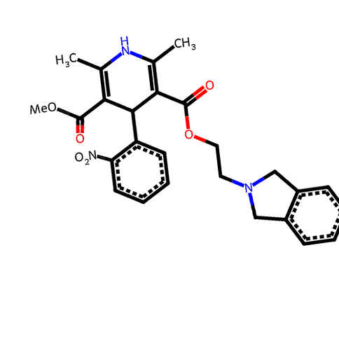 COC(=O)C1=C(C)NC(C)=C(C(=O)OCCN2Cc3ccccc3C2)C1c1ccccc1[N+](=O)[O-]